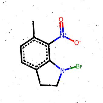 Cc1ccc2c(c1[N+](=O)[O-])N(Br)CC2